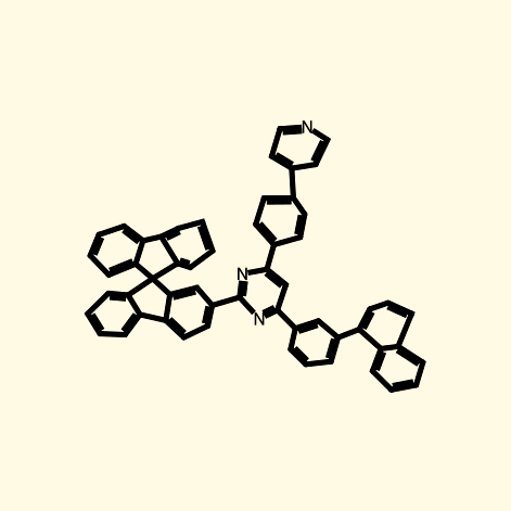 c1cc(-c2cc(-c3ccc(-c4ccncc4)cc3)nc(-c3ccc4c(c3)C3(c5ccccc5-c5ccccc53)c3ccccc3-4)n2)cc(-c2cccc3ccccc23)c1